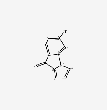 O=C1c2ccc(Cl)cc2-n2cccc21